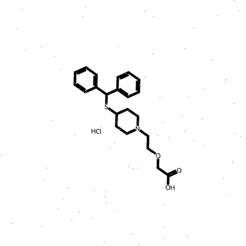 Cl.O=C(O)COCCN1CCC(SC(c2ccccc2)c2ccccc2)CC1